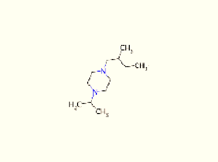 [CH2]CC(C)CN1CCN(C(C)C)CC1